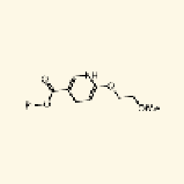 COCCOC1=CCC(C(=O)OC(C)C)=CN1